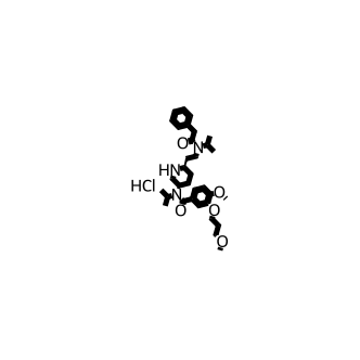 COCCCOc1cc(C(=O)N(C(C)C)[C@@H]2CC[C@H](CCN(C(=O)Cc3ccccc3)C(C)C)NC2)ccc1OC.Cl